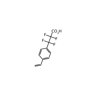 C=Cc1ccc(C(F)(F)C(F)(F)C(=O)O)cc1